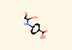 O=CC(O)Nc1ccc(C(=O)O)cc1